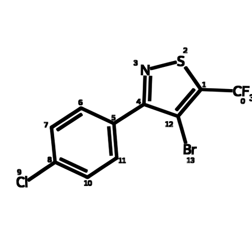 FC(F)(F)c1snc(-c2ccc(Cl)cc2)c1Br